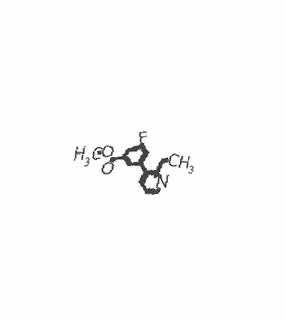 CCc1ncccc1-c1cc(F)cc(C(=O)OC)c1